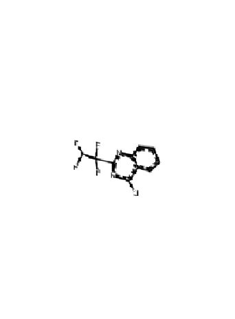 FC(F)C(F)(F)c1nc(Cl)c2ccccc2n1